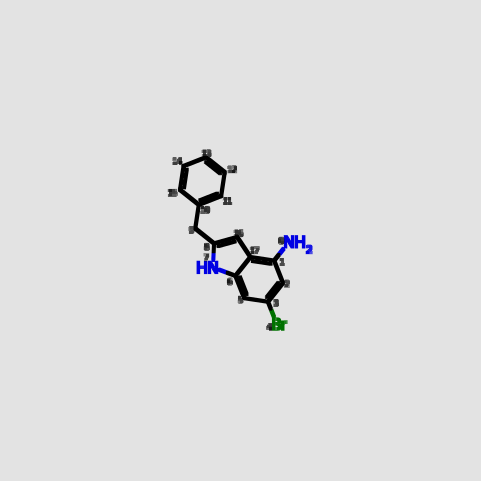 Nc1cc(Br)cc2[nH]c(Cc3ccccc3)cc12